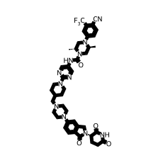 C[C@@H]1CN(c2ccc(C#N)c(C(F)(F)F)c2)[C@@H](C)CN1C(=O)Nc1cnc(N2CCC(CN3CCN(c4ccc5c(c4)CN([C@H]4CCC(=O)NC4=O)C5=O)CC3)CC2)nc1